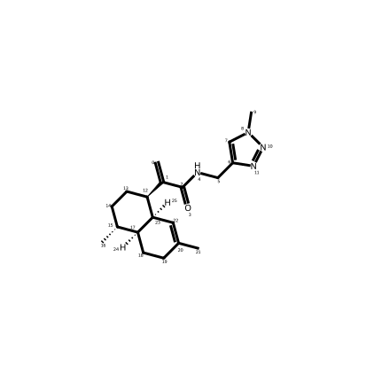 C=C(C(=O)NCc1cn(C)nn1)[C@@H]1CC[C@@H](C)[C@@H]2CCC(C)=C[C@@H]21